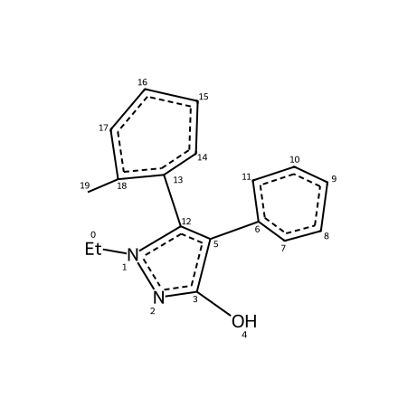 CCn1nc(O)c(-c2ccccc2)c1-c1ccccc1C